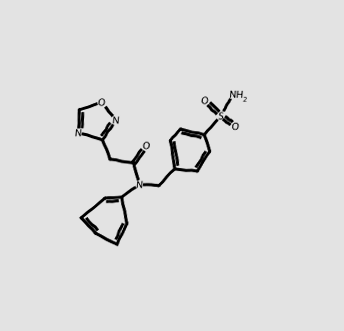 NS(=O)(=O)c1ccc(CN(C(=O)Cc2ncon2)c2ccccc2)cc1